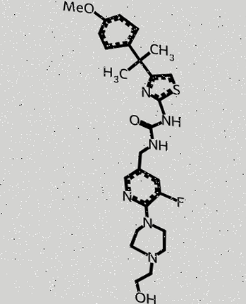 COc1ccc(C(C)(C)c2csc(NC(=O)NCc3cnc(N4CCN(CCO)CC4)c(F)c3)n2)cc1